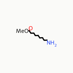 COC(=O)CCCCCCCCN